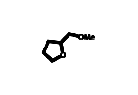 COCC1CCCO1